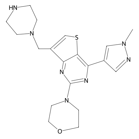 Cn1cc(-c2nc(N3CCOCC3)nc3c(CN4CCNCC4)csc23)cn1